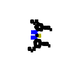 O=[N+]([O-])c1cc(NC(=S)Nc2cc([N+](=O)[O-])cc([N+](=O)[O-])c2)cc([N+](=O)[O-])c1